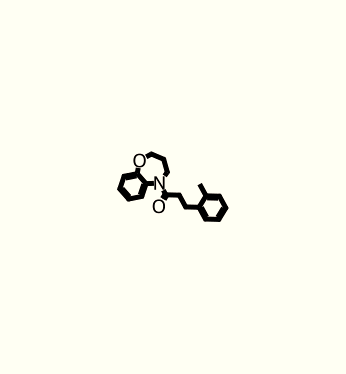 Cc1ccccc1CCC(=O)N1CCCOc2ccccc21